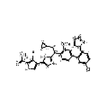 CO[n+]1cc(-c2cc(Cl)ccc2-n2cnnn2)ccc1C(CC1CC1)c1ncc(-c2csc(C(N)=O)c2F)[nH]1